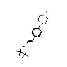 CC(C)N1CCN(c2ccc(C=CB3OC(C)(C)C(C)(C)O3)cc2)CC1